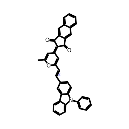 CC1=CC(=C2C(=O)c3cc4ccccc4cc3C2=O)C=C(/C=C/c2ccc3c(c2)c2ccccc2n3-c2ccccc2)O1